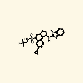 Cn1c(NC2CCc3cc(S(=O)(=O)NCC(C)(C)F)c4cc(C5CC5)ncc4c32)nc2ccccc21